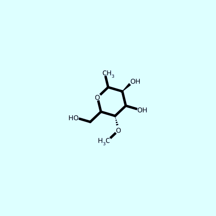 CO[C@@H]1C(CO)OC(C)[C@@H](O)C1O